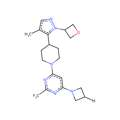 [2H]C1CN(c2cc(N3CCC(c4c(C)cnn4C4COC4)CC3)nc(C(F)(F)F)n2)C1